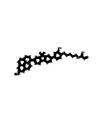 C=CC(=O)OCCCCCc1ccc(-c2ccc3c(c2)C(C)(C)c2cc(-c4ccc5ccc6cc(C(C)(C)C)cc7ccc4c5c67)ccc2-3)cc1F